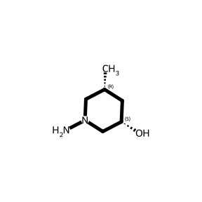 C[C@@H]1C[C@H](O)CN(N)C1